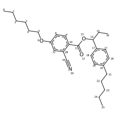 CCCCCCOc1ccc(C(=O)OC(CC)c2ccc(CCCCC)cc2)c(C#N)c1